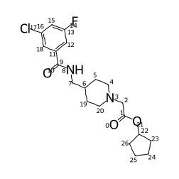 O=C(CN1CCC(CNC(=O)c2cc(F)cc(Cl)c2)CC1)OC1CCCC1